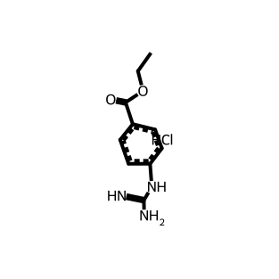 CCOC(=O)c1ccc(NC(=N)N)cc1.Cl